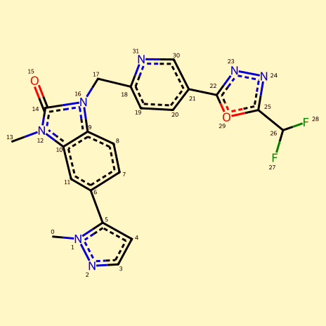 Cn1nccc1-c1ccc2c(c1)n(C)c(=O)n2Cc1ccc(-c2nnc(C(F)F)o2)cn1